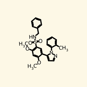 COc1cc(OC)c(S(=O)(=O)NCc2ccccc2)cc1-c1ccnn1-c1ccccc1C